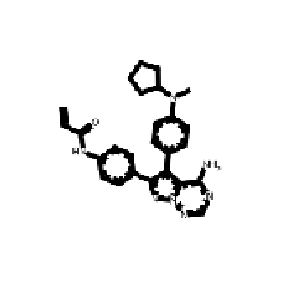 C=CC(=O)Nc1ccc(-c2nn3ncnc(N)c3c2-c2ccc(N(C)C3CCCC3)cc2)cc1